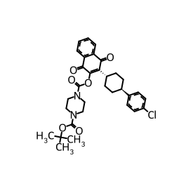 CC(C)(C)OC(=O)N1CCN(C(=O)OC2=C([C@H]3CC[C@H](c4ccc(Cl)cc4)CC3)C(=O)c3ccccc3C2=O)CC1